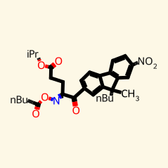 CCCCC(=O)O/N=C(\CCC(=O)OC(C)C)C(=O)c1ccc2c(c1)C(C)(CCCC)c1cc([N+](=O)[O-])ccc1-2